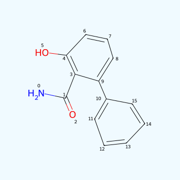 NC(=O)c1c(O)cccc1-c1ccccc1